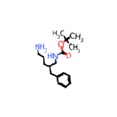 CC(C)(C)OC(=O)NCC(CCCN)Cc1ccccc1